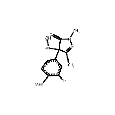 COc1ccc(C2(NO)C(=O)N(C)N=C2C)cc1Br